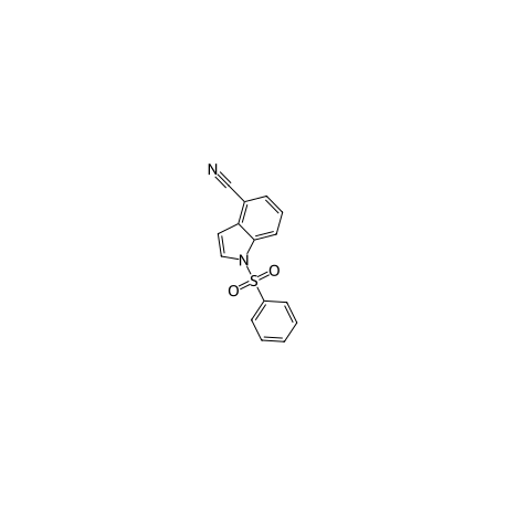 N#Cc1cccc2c1ccn2S(=O)(=O)c1ccccc1